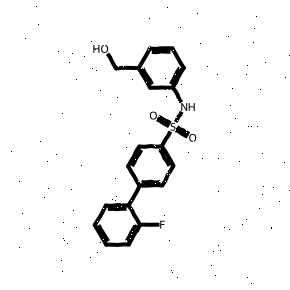 O=S(=O)(Nc1cccc(CO)c1)c1ccc(-c2ccccc2F)cc1